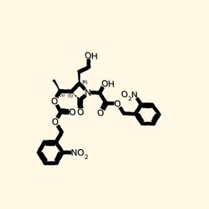 C[C@H](OC(=O)OCc1ccccc1[N+](=O)[O-])[C@H]1C(=O)N(C(O)C(=O)OCc2ccccc2[N+](=O)[O-])[C@@H]1CCO